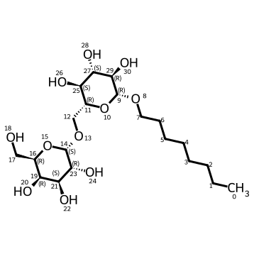 CCCCCCCCO[C@@H]1O[C@H](CO[C@H]2O[C@H](CO)[C@H](O)[C@H](O)[C@H]2O)[C@@H](O)[C@H](O)[C@H]1O